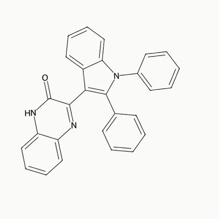 O=c1[nH]c2ccccc2nc1-c1c(-c2ccccc2)n(-c2ccccc2)c2ccccc12